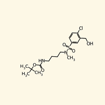 CN(CCCCNC(=O)OC(C)(C)C)S(=O)(=O)c1ccc(Cl)c(CO)c1